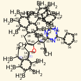 B/C(C#C)=c1\c(B)c(B)c(B)c(B)\c1=C1\CC(Cc2c(B)c(B)c(-c3c(B)c(B)c(B)c(B)c3B)c3c(B)c(B)c(B)c(B)c23)=C(/C(C)=C(\C#C)c2nc(-c3ccccc3)nc(-c3ccccc3)n2)O1